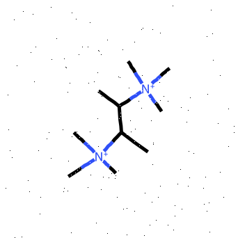 CC(C(C)[N+](C)(C)C)[N+](C)(C)C